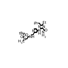 CCc1nc(C(N)=O)c(Nc2ccnc(CCNC(=O)CN(C)C(=O)OC(C)(C)C)c2)nc1CC(C)C